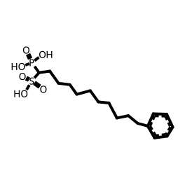 O=P(O)(O)C(CCCCCCCCCCc1ccccc1)S(=O)(=O)O